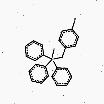 Fc1ccc(CP(Br)(c2ccccc2)(c2ccccc2)c2ccccc2)cc1